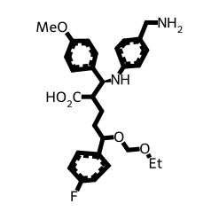 CCOCOC(CCC(C(=O)O)[C@H](Nc1ccc(CN)cc1)c1ccc(OC)cc1)c1ccc(F)cc1